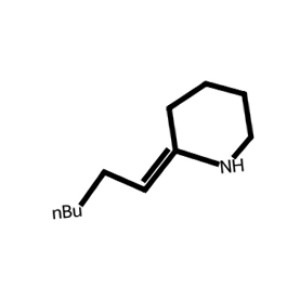 CCCCCC=C1CCCCN1